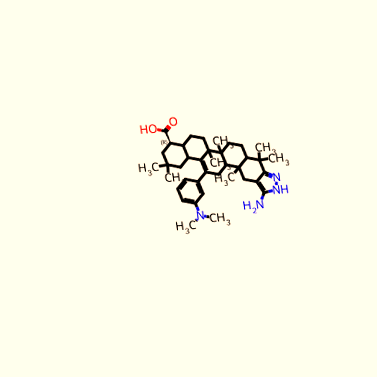 CN(C)c1cccc(C2=C3C4CC(C)(C)C[C@@H](C(=O)O)C4CCC3(C)C3(C)CCC4C(C)(C)c5n[nH]c(N)c5CC4(C)C3C2)c1